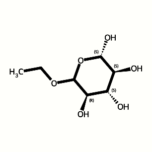 CCOC1O[C@H](O)[C@@H](O)[C@H](O)[C@H]1O